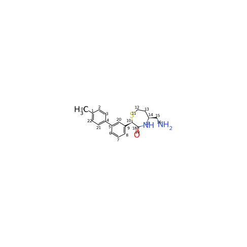 Cc1ccc(-c2cccc([C@H]3SCC[C@@H](CN)NC3=O)c2)cc1